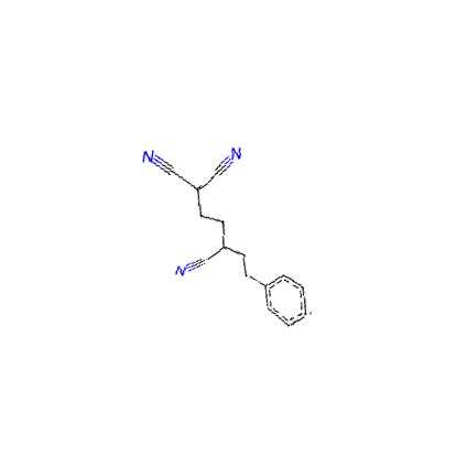 N#CC(C#N)CCC(C#N)CCc1cc[c]cc1